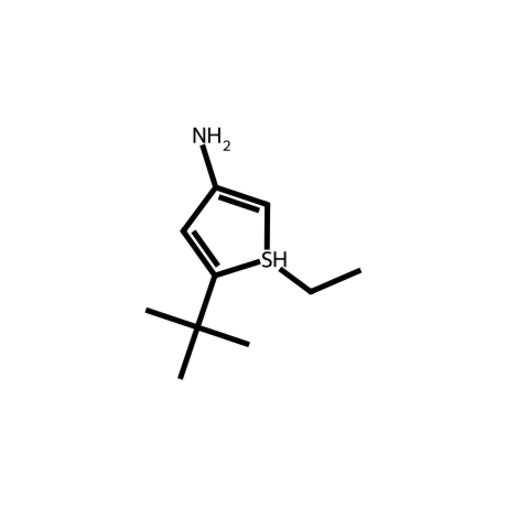 CC[SH]1C=C(N)C=C1C(C)(C)C